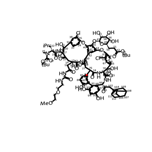 COCCOCCNC(=O)NC(=O)C[C@@H]1CC(=O)[C@H](NC(=O)[C@@H](CC(C)C)N(C)C(=O)OC(C)(C)C)[C@H](O)c2ccc(c(Cl)c2)Oc2cc3cc(c2O[C@@H]2O[C@H](CCC(=O)OC(C)(C)C)[C@@H](O)[C@H](O)[C@H]2O)Oc2ccc(cc2Cl)[C@@H](O)[C@@H]2NC(=O)[C@H](CC(=O)[C@@H]3NC1=O)c1ccc(O)c(c1)-c1c(O)cc(O)cc1[C@@H](C(=O)CC1C3CC4CC(C3)CC1C4)NC2=O